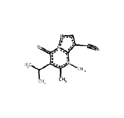 Cc1c(C(C)C)c(=O)n2ncc(C#N)c2n1C